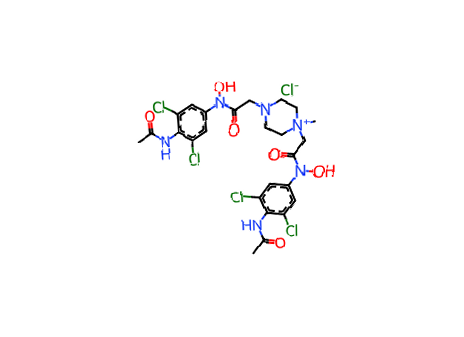 CC(=O)Nc1c(Cl)cc(N(O)C(=O)CN2CC[N+](C)(CC(=O)N(O)c3cc(Cl)c(NC(C)=O)c(Cl)c3)CC2)cc1Cl.[Cl-]